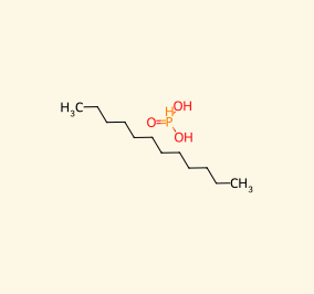 CCCCCCCCCCCC.O=[PH](O)O